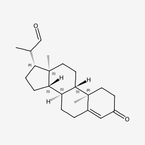 CC(C=O)[C@H]1CC[C@H]2[C@@H]3CCC4=CC(=O)CC[C@]4(C)[C@H]3CC[C@]12C